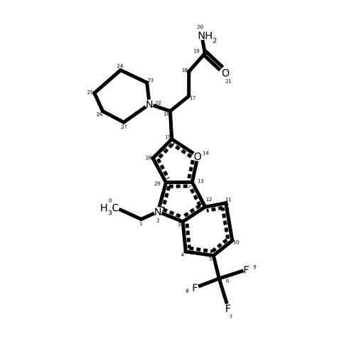 CCn1c2cc(C(F)(F)F)ccc2c2oc(C(CCC(N)=O)N3CCCCC3)cc21